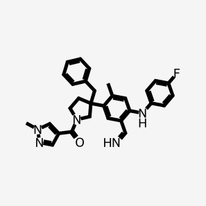 Cc1cc(Nc2ccc(F)cc2)c(C=N)cc1C1(Cc2ccccc2)CCN(C(=O)c2cnn(C)c2)C1